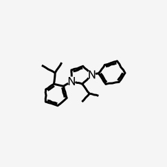 CC(C)c1ccccc1N1C=CN(c2ccccc2)C1C(C)C